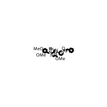 COCc1cnc(NCc2ccc(OC)cc2OC)c2c(Br)nc([C@@H]3CCCN(C(=O)OCc4ccccc4)C3)n12